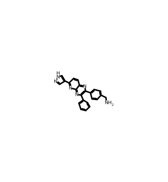 NCc1ccc(-c2nc3ccc(-c4cn[nH]c4)nc3nc2-c2ccccc2)cc1